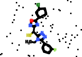 CCn1c(-c2cccc(F)c2)nnc1C(S)c1noc(-c2cccc(Cl)c2)n1